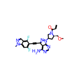 C=CC(=O)N1CC(n2nc(C#Cc3c(F)cc4c(cnn4C)c3F)c3c(N)ncnc32)C[C@@H]1COC